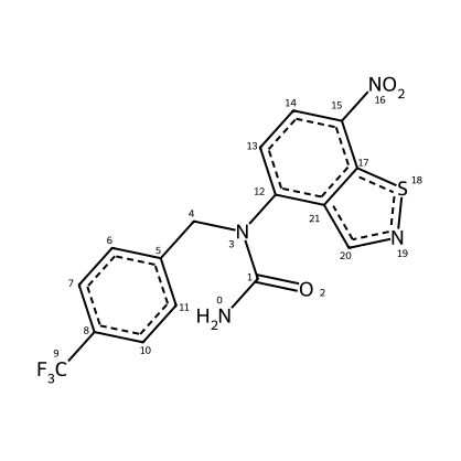 NC(=O)N(Cc1ccc(C(F)(F)F)cc1)c1ccc([N+](=O)[O-])c2sncc12